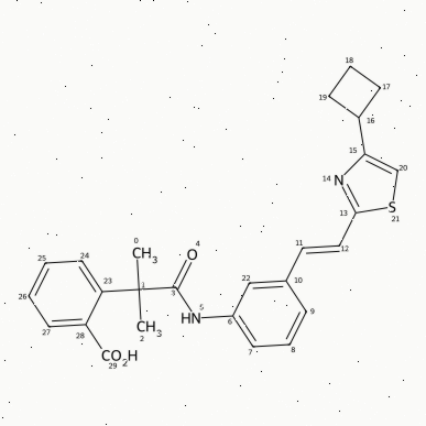 CC(C)(C(=O)Nc1cccc(/C=C/c2nc(C3CCC3)cs2)c1)c1ccccc1C(=O)O